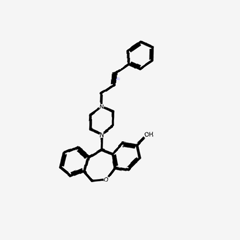 Oc1ccc2c(c1)C(N1CCN(C/C=C/c3ccccc3)CC1)c1ccccc1CO2